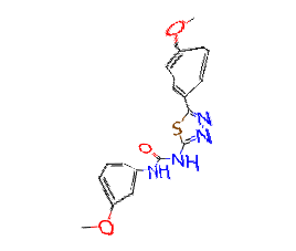 COc1ccc(-c2nnc(NC(=O)Nc3cccc(OC)c3)s2)cc1